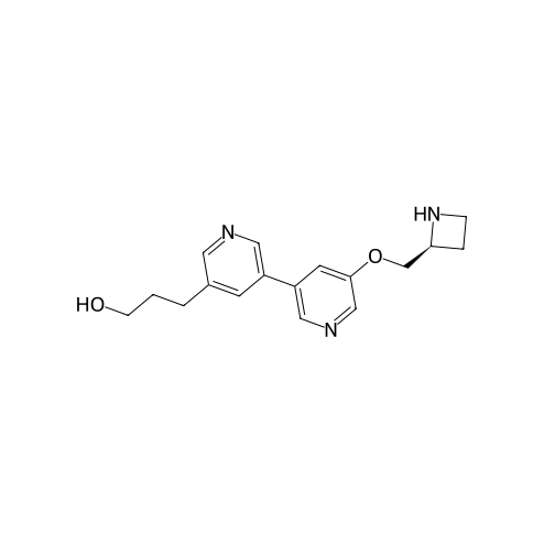 OCCCc1cncc(-c2cncc(OC[C@@H]3CCN3)c2)c1